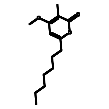 CCCCCCCc1cc(OC)c(C)c(=O)o1